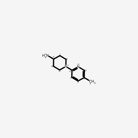 Cc1ccc(N2CCC(N)CC2)nc1